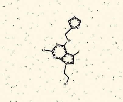 OCCn1cc(F)c2c(NCc3ccco3)nc(Cl)nc21